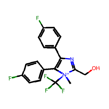 C[N+]1(C(F)(F)F)C(CO)=NC(c2ccc(F)cc2)=C1c1ccc(F)cc1